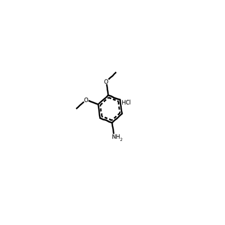 COc1ccc(N)cc1OC.Cl